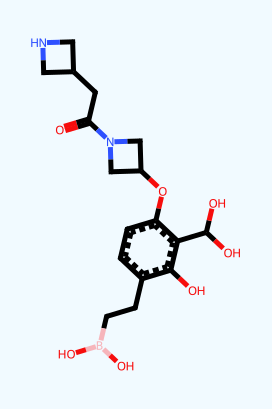 O=C(CC1CNC1)N1CC(Oc2ccc(CCB(O)O)c(O)c2C(O)O)C1